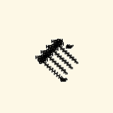 CCCCCCCCCCCCCCCCOP(=O)([O-])C(O)P(=O)(O)O.CCCCCCCCCCCCCCCCOP(=O)([O-])C(O)P(=O)(O)O.CCCCCCCCCCCCCCCCOP(=O)([O-])C(O)P(=O)(O)O.CCCCCCCCCCCCCCCCOP(=O)([O-])C(O)P(=O)(O)O.[Na+].[Na+].[Na+].[Na+]